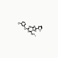 Nc1nc(Oc2cccc(Cl)c2)nc2nc(-c3ccco3)nn12